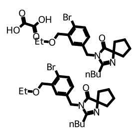 CCCCC1=NC2(CCCC2)C(=O)N1Cc1ccc(Br)c(COCC)c1.CCCCC1=NC2(CCCC2)C(=O)N1Cc1ccc(Br)c(COCC)c1.O=C(O)C(=O)O